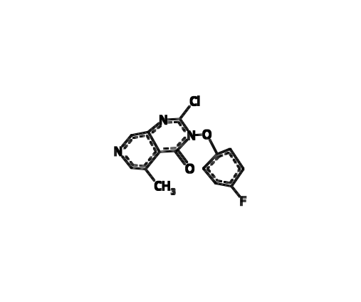 Cc1cncc2nc(Cl)n(Oc3ccc(F)cc3)c(=O)c12